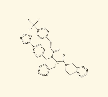 O=C([C@H](Cc1ccccc1)N(Cc1ccc(-c2cncs2)cc1)C(=O)C=Cc1ccc(C(F)(F)F)cc1)N1CCc2ccccc2C1